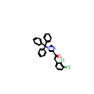 O=C(Cc1cccc(Cl)c1Cl)c1cn(C(c2ccccc2)(c2ccccc2)c2ccccc2)cn1